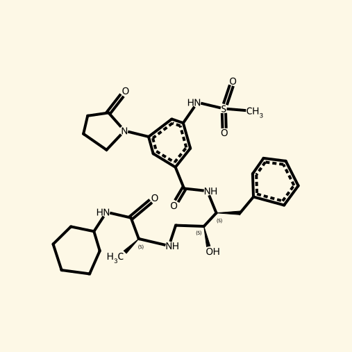 C[C@H](NC[C@H](O)[C@H](Cc1ccccc1)NC(=O)c1cc(NS(C)(=O)=O)cc(N2CCCC2=O)c1)C(=O)NC1CCCCC1